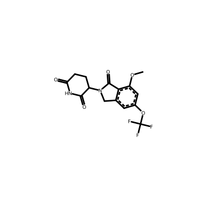 COc1cc(OC(F)(F)F)cc2c1C(=O)N(C1CCC(=O)NC1=O)C2